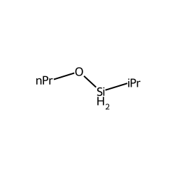 CCCO[SiH2]C(C)C